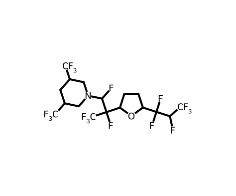 FC(C(F)(F)F)C(F)(F)C1CCC(C(F)(C(F)N2CC(C(F)(F)F)CC(C(F)(F)F)C2)C(F)(F)F)O1